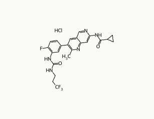 Cc1nc2cc(NC(=O)C3CC3)ncc2cc1-c1ccc(F)c(NC(=O)NCCC(F)(F)F)c1.Cl